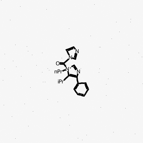 CCC[N+]1(C(=O)n2ccnc2)C=NC(c2ccccc2)=C1C(C)C